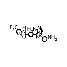 Nc1nccn2c([C@@H]3CCC[C@@H](N)C3)nc(-c3ccc(C(=O)Nc4cc(C(F)(F)F)ccn4)cc3)c12